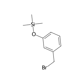 C[Si](C)(C)Oc1cccc(CBr)c1